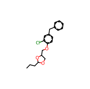 CCCC1OCC(COc2ccc(Cc3ccccc3)cc2Cl)O1